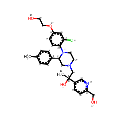 Cc1ccc([C@@H]2CN(C[C@@](C)(O)c3ccc(CO)nc3)CCN2c2ccc(OCCO)cc2Cl)cc1